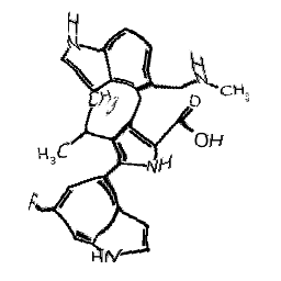 CNCc1ccc2[nH]ccc2c1-c1c(C(=O)O)[nH]c(-c2cc(F)cc3[nH]ccc23)c1C(C)C